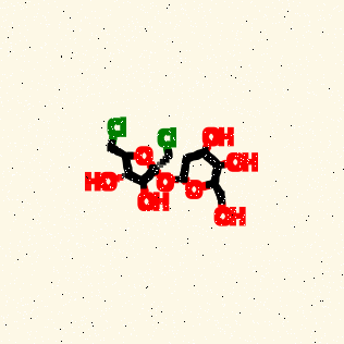 OC[C@H]1O[C@H](O[C@]2(CCl)O[C@H](CCl)[C@@H](O)[C@@H]2O)C[C@@H](O)[C@H]1O